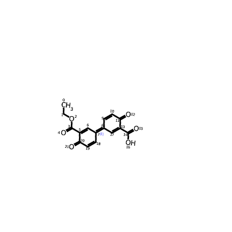 CCOC(=O)C1=C/C(=C2\C=CC(=O)C(C(=O)O)=C2)C=CC1=O